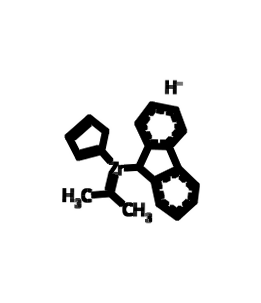 C[C](C)=[Zr]([C]1=CC=CC1)[CH]1c2ccccc2-c2ccccc21.[H-]